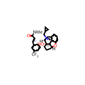 CNC(=O)/C=C/c1cccc(C(F)(F)F)c1.O[C@@]12CCC[C@@H]3Oc4cccc5c4[C@@]31CCN(CC1CC1)[C@@H]2C5